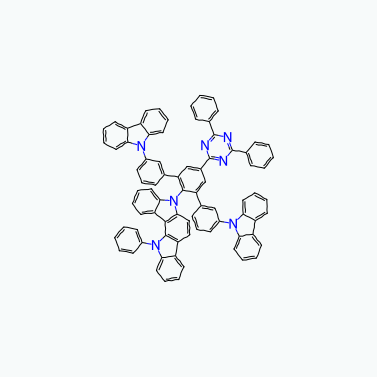 c1ccc(-c2nc(-c3ccccc3)nc(-c3cc(-c4cccc(-n5c6ccccc6c6ccccc65)c4)c(-n4c5ccccc5c5c4ccc4c6ccccc6n(-c6ccccc6)c45)c(-c4cccc(-n5c6ccccc6c6ccccc65)c4)c3)n2)cc1